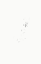 OCc1cn(-c2ccc(OCc3c(Cl)cccc3C(F)(F)F)cc2)nn1